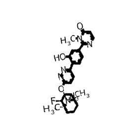 CN1[C@]2(C)CCC[C@@]1(C)[C@@H](F)[C@H](Oc1ccc(-c3ccc(-c4nccc(=O)n4C)cc3O)nn1)C2